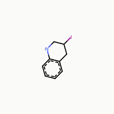 IC1C[N]c2ccccc2C1